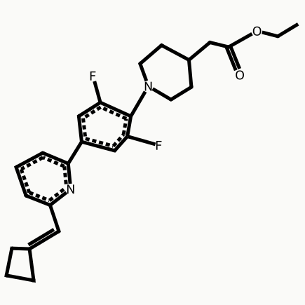 CCOC(=O)CC1CCN(c2c(F)cc(-c3cccc(C=C4CCC4)n3)cc2F)CC1